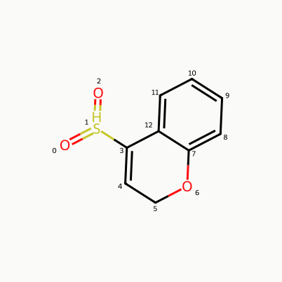 O=[SH](=O)C1=CCOc2ccccc21